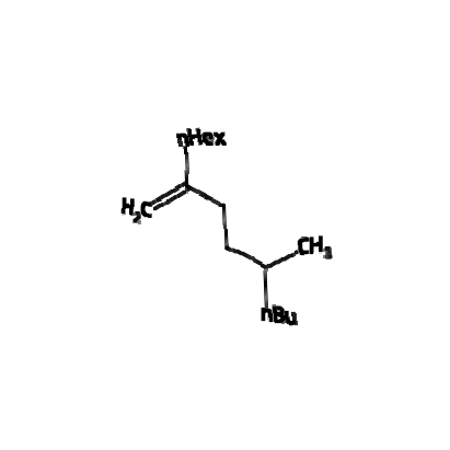 C=C(CCCCCC)CCC(C)CCCC